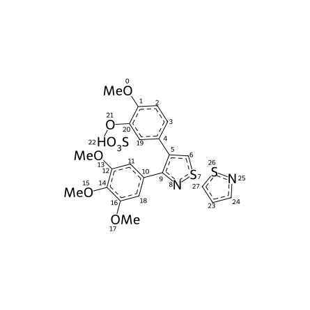 COc1ccc(-c2csnc2-c2cc(OC)c(OC)c(OC)c2)cc1OS(=O)(=O)O.c1cnsc1